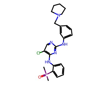 CP(C)(=O)c1ccccc1Nc1nc(Nc2cccc(CN3CCCCC3)c2)ncc1Cl